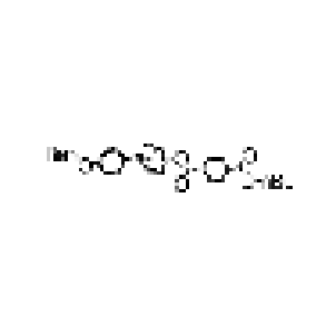 CCCCOC(=O)[C@H]1CC[C@H](C(=O)Oc2ccc(-c3ccc(OC[C@@H](C)CC)cc3)cc2)CC1